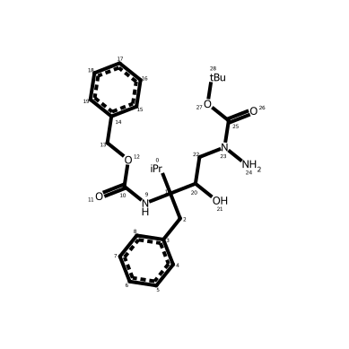 CC(C)C(Cc1ccccc1)(NC(=O)OCc1ccccc1)C(O)CN(N)C(=O)OC(C)(C)C